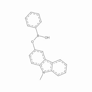 Cn1c2ccccc2c2cc(OB(O)c3ccccc3)ccc21